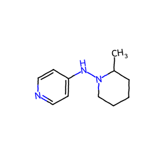 CC1CCCCN1Nc1ccncc1